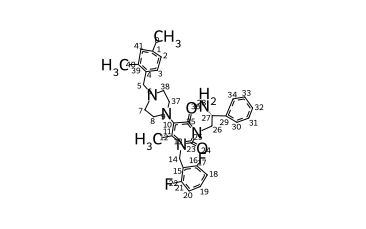 Cc1ccc(CN2CCN(c3c(C)n(Cc4c(F)cccc4F)c(=O)n(C[C@H](N)c4ccccc4)c3=O)CC2)c(C)c1